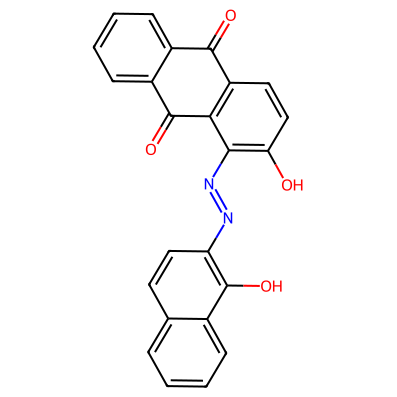 O=C1c2ccccc2C(=O)c2c1ccc(O)c2N=Nc1ccc2ccccc2c1O